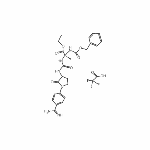 CCOC(=O)[C@@](C)(NC(=O)NC1CCN(c2ccc(C(=N)N)cc2)C1=O)NC(=O)OCc1ccccc1.O=C(O)C(F)(F)F